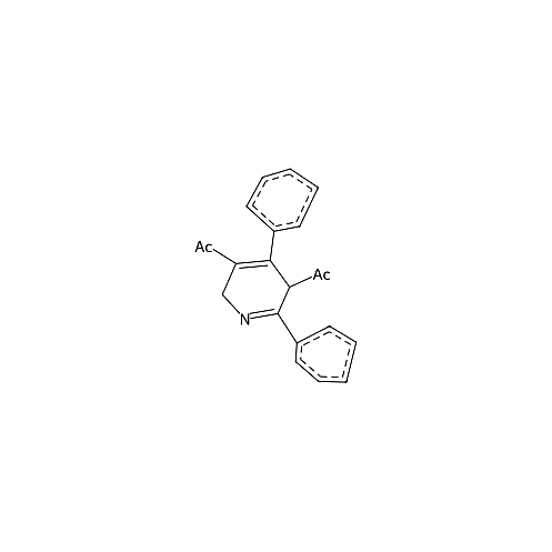 CC(=O)C1=C(c2ccccc2)C(C(C)=O)C(c2ccccc2)=NC1